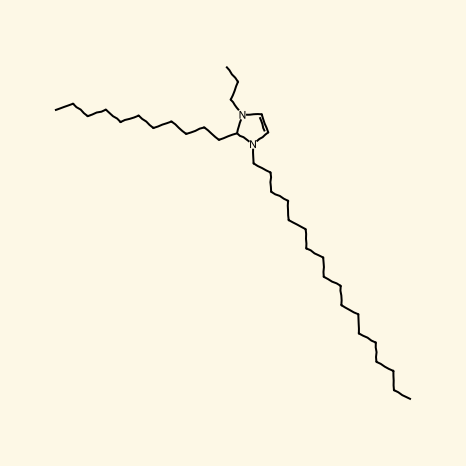 CCCCCCCCCCCCCCCCCCN1C=CN(CCC)C1CCCCCCCCCCC